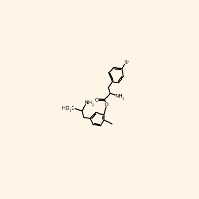 Cc1ccc(CC(N)C(=O)O)cc1OC(=O)C(N)Cc1ccc(Br)cc1